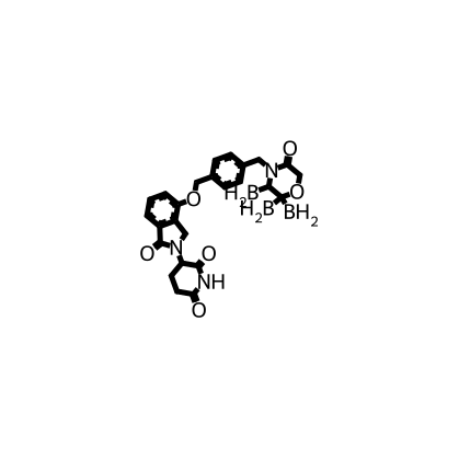 BC1N(Cc2ccc(COc3cccc4c3CN(C3CCC(=O)NC3=O)C4=O)cc2)C(=O)COC1(B)B